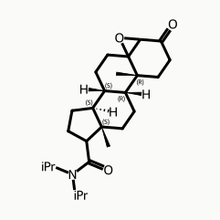 CC(C)N(C(=O)C1CC[C@H]2[C@@H]3CCC45OC4C(=O)CC[C@]5(C)[C@@H]3CC[C@]12C)C(C)C